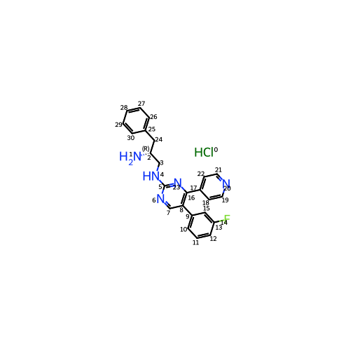 Cl.N[C@@H](CNc1ncc(-c2cccc(F)c2)c(-c2ccncc2)n1)Cc1ccccc1